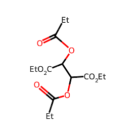 CCOC(=O)C(OC(=O)CC)C(OC(=O)CC)C(=O)OCC